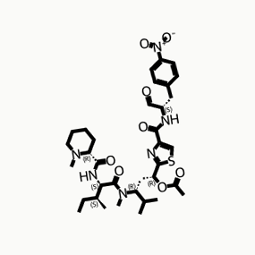 CC[C@H](C)[C@H](NC(=O)[C@H]1CCCCN1C)C(=O)N(C)[C@H](C[C@@H](OC(C)=O)c1nc(C(=O)N[C@H](C=O)Cc2ccc([N+](=O)[O-])cc2)cs1)C(C)C